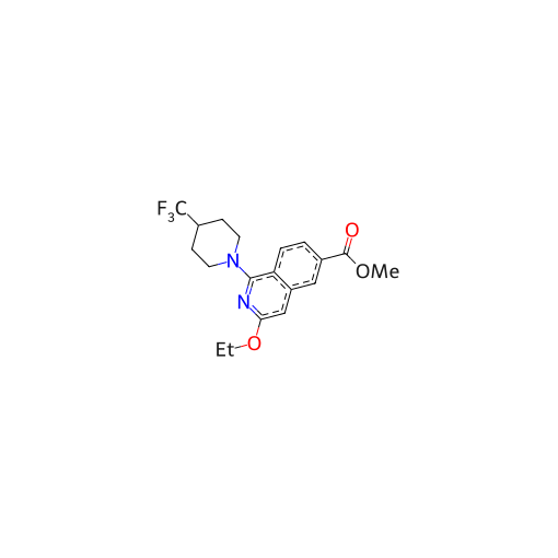 CCOc1cc2cc(C(=O)OC)ccc2c(N2CCC(C(F)(F)F)CC2)n1